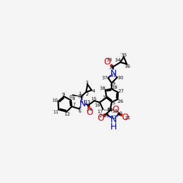 C[C@@H](C1CC1)N(Cc1ccccc1)C(=O)CC1C[C@@]2(OC(=O)NC2=O)c2ccc(C3CN(C(=O)C4CC4)C3)cc21